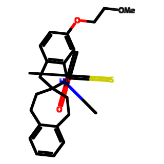 COCCOc1ccc2c(c1)C1(NC(=S)N(C)C1=O)C1(CCc3ccccc3CC1)C2